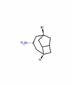 N[C@@H]1C[C@@H]2CC3C[C@H](C1)C3C2